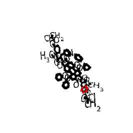 C=C(Cl)C(=O)OC1CCCC(N(CC)C(=O)C(Cc2ccncc2)N2C(=O)c3cc(Oc4ccccc4)c4c5c(Oc6ccccc6)cc6c7c(cc(Oc8ccccc8)c(c8c(Oc9ccccc9)cc(c3c48)C2=O)c75)C(=O)N(C(Cc2ccncc2)C(=O)N(CC)C2CCCC(OC(=O)C(=C)Cl)C2)C6=O)C1